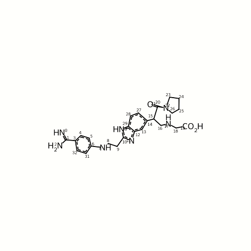 N=C(N)c1ccc(NCCc2nc3cc(C(CNCC(=O)O)C(=O)N4CCCC4)ccc3[nH]2)cc1